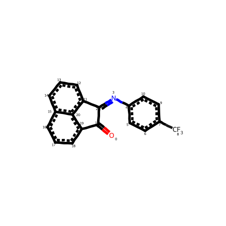 O=C1C(=Nc2ccc(C(F)(F)F)cc2)c2cccc3cccc1c23